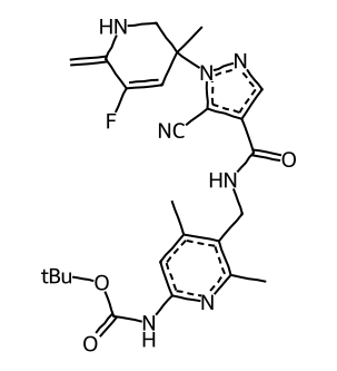 C=C1NCC(C)(n2ncc(C(=O)NCc3c(C)cc(NC(=O)OC(C)(C)C)nc3C)c2C#N)C=C1F